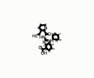 C#Cc1cccnc1C(=O)Nc1nc2c(C(=O)O)cccc2[nH]1.c1ccccc1